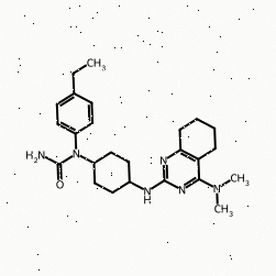 CCc1ccc(N(C(N)=O)C2CCC(Nc3nc4c(c(N(C)C)n3)CCCC4)CC2)cc1